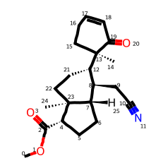 COC(=O)[C@H]1CC[C@H]2[C@H](CC#N)[C@@H]([C@@]3(C)CCC=CC3=O)CC[C@]12C